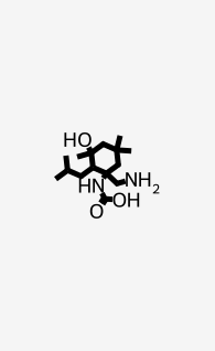 CC(C)CC1C(C)(O)CC(C)(C)CC1(CN)NC(=O)O